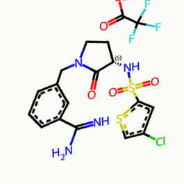 N=C(N)c1cccc(CN2CC[C@H](NS(=O)(=O)c3cc(Cl)cs3)C2=O)c1.O=C(O)C(F)(F)F